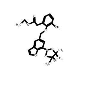 CCOC(=O)Cc1cccc(C)c1OCc1cc(B2OC(C)(C)C(C)(C)O2)c2occc2c1